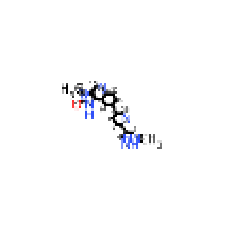 CN/C=C(\C=N)c1ccc(-c2ccc3ncc4c([nH]c(=O)n4C)c3c2)cn1